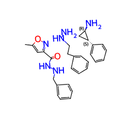 Cc1cc(C(=O)NNCc2ccccc2)no1.NNCCc1ccccc1.N[C@@H]1C[C@H]1c1ccccc1